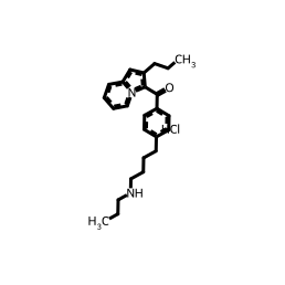 CCCNCCCCc1ccc(C(=O)c2c(CCC)cc3ccccn23)cc1.Cl